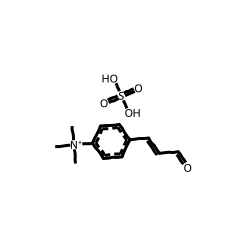 C[N+](C)(C)c1ccc(/C=C/C=O)cc1.O=S(=O)(O)O